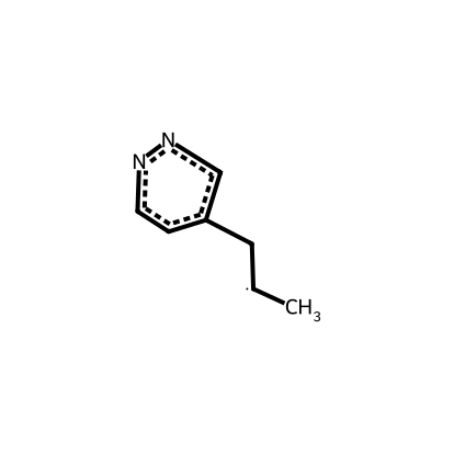 C[CH]Cc1ccnnc1